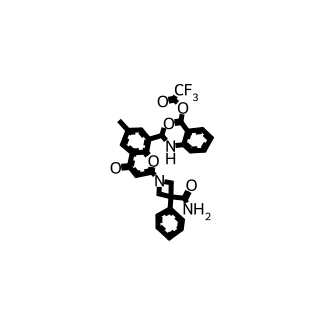 Cc1cc(C(C)Nc2ccccc2C(=O)OC(=O)C(F)(F)F)c2oc(N3CC(C(N)=O)(c4ccccc4)C3)cc(=O)c2c1